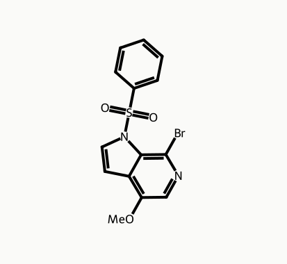 COc1cnc(Br)c2c1ccn2S(=O)(=O)c1ccccc1